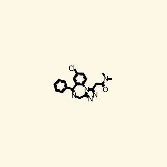 CN(C)C(=O)Cc1nnc2n1-c1ccc(Cl)cc1C(c1ccccc1)=NC2